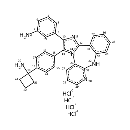 Cl.Cl.Cl.Cl.Nc1cccc(-c2nc3n(c2-c2ccc(C4(N)CCC4)cc2)-c2cccnc2Nc2ccccc2-3)c1